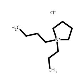 CCCC[N+]1(CCC)CCCC1.[Cl-]